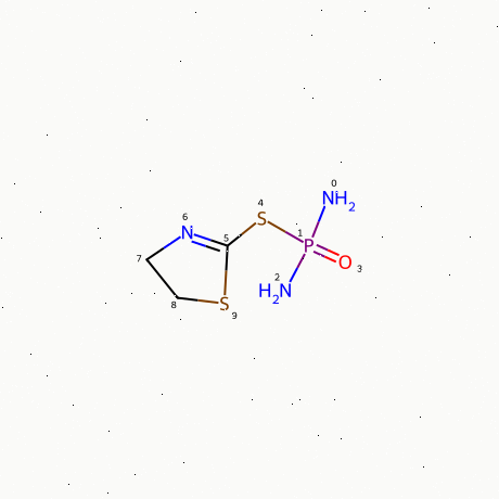 NP(N)(=O)SC1=NCCS1